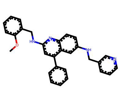 COc1ccccc1CNc1cc(-c2ccccc2)c2cc(NCc3cccnc3)ccc2n1